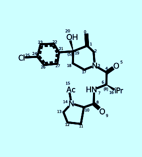 C=C1CN(C(=O)[C@H](NC(=O)C2CCCN2C(C)=O)C(C)C)CC[C@]1(O)c1ccc(Cl)cc1